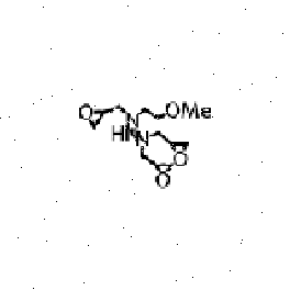 COCCN(CC1CO1)NN(CC1CO1)CC1CO1